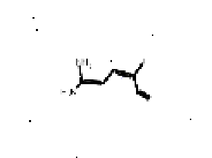 C=C/C(I)=C\C=C(N)N